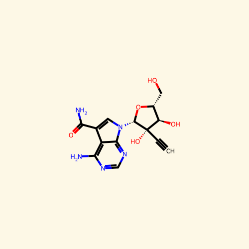 C#C[C@]1(O)[C@H](O)[C@@H](CO)O[C@H]1n1cc(C(N)=O)c2c(N)ncnc21